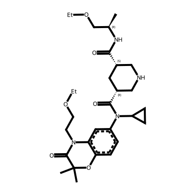 CCOCCN1C(=O)C(C)(C)Oc2ccc(N(C(=O)[C@H]3CNC[C@@H](C(=O)N[C@H](C)COCC)C3)C3CC3)cc21